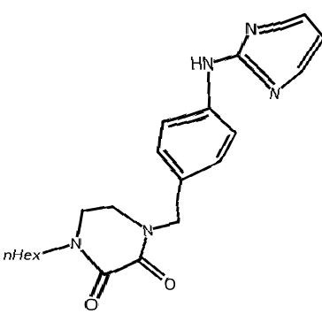 CCCCCCN1CCN(Cc2ccc(Nc3ncccn3)cc2)C(=O)C1=O